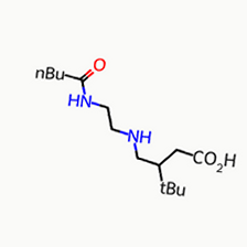 CCCCC(=O)NCCNCC(CC(=O)O)C(C)(C)C